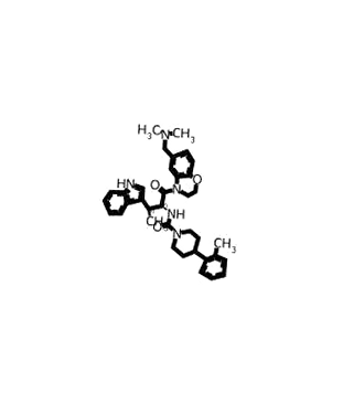 Cc1ccccc1C1CCN(C(=O)N[C@@H](C(=O)N2CCOc3ccc(CN(C)C)cc32)[C@@H](C)c2c[nH]c3ccccc23)CC1